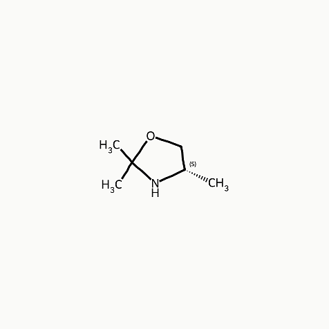 C[C@H]1COC(C)(C)N1